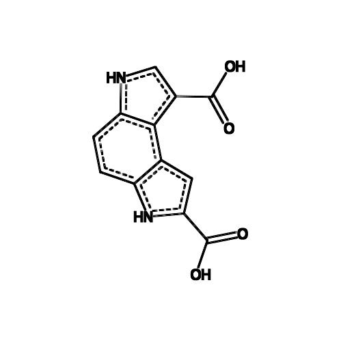 O=C(O)c1cc2c(ccc3[nH]cc(C(=O)O)c32)[nH]1